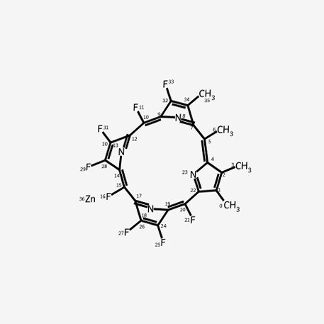 CC1=C(C)C2=C(C)C3=NC(=C(F)C4=NC(=C(F)C5=NC(=C(F)C1=N2)C(F)=C5F)C(F)=C4F)C(F)=C3C.[Zn]